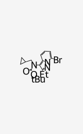 CCc1nn2c(Br)cccc2c1N(CC1CC1)C(=O)OC(C)(C)C